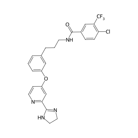 O=C(NCCCc1cccc(Oc2ccnc(C3=NCCN3)c2)c1)c1ccc(Cl)c(C(F)(F)F)c1